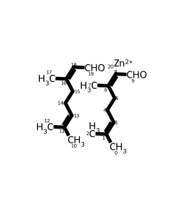 CC(C)=CCC/C(C)=C\C=O.CC(C)=CCC/C(C)=C\C=O.[Zn+2]